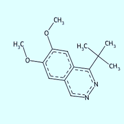 COc1cc2cnnc(C(C)(C)C)c2cc1OC